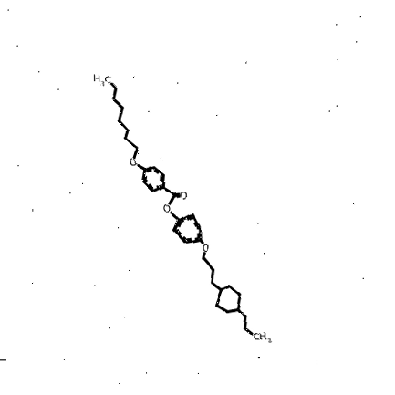 CCCCCCCCOc1ccc(C(=O)Oc2ccc(OCCCC3CCC(CCC)CC3)cc2)cc1